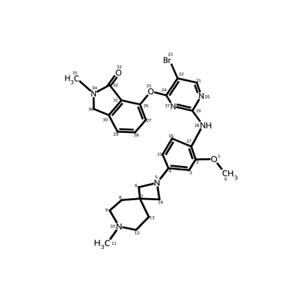 COc1cc(N2CC3(CCN(C)CC3)C2)ccc1Nc1ncc(Br)c(Oc2cccc3c2C(=O)N(C)C3)n1